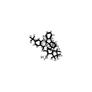 Bc1c2c(c(B)c3c1nc1n3C3(Nc4cc(C(C)(C)C)ccc4-1)c1ccccc1-c1ccccc13)C(C)(C)C(C)(C)C2(C)C